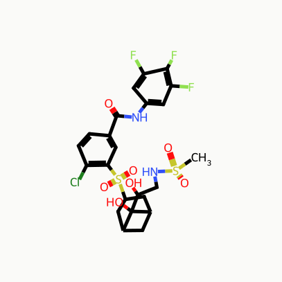 CS(=O)(=O)NCC(O)C1(O)C2CC1CC(S(=O)(=O)c1cc(C(=O)Nc3cc(F)c(F)c(F)c3)ccc1Cl)C2